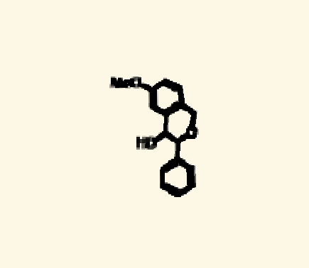 COc1ccc2c(c1)C(O)C(c1ccccc1)OC2